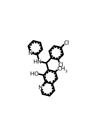 Cc1cc2cccnc2c(O)c1C(Nc1ccccn1)c1ccc(Cl)cc1Cl